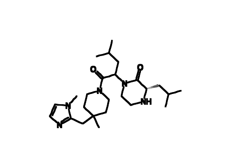 CC(C)CC(C(=O)N1CCC(C)(Cc2nccn2C)CC1)N1CCN[C@@H](CC(C)C)C1=O